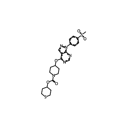 CS(=O)(=O)c1ccc(-n2ncc3c(OC4CCN(C(=O)OC5CCSCC5)CC4)ncnc32)cc1